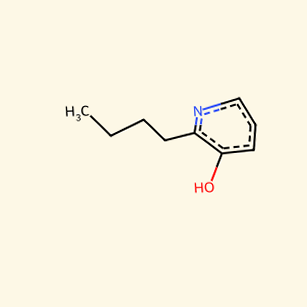 CCCCc1ncccc1O